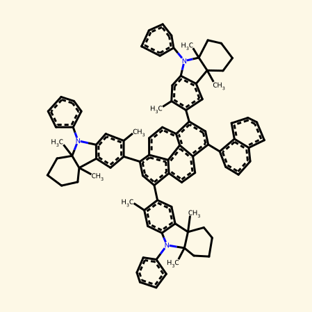 Cc1cc2c(cc1-c1cc(-c3cc4c(cc3C)N(c3ccccc3)C3(C)CCCCC43C)c3ccc4c(-c5cccc6ccccc56)cc(-c5cc6c(cc5C)N(c5ccccc5)C5(C)CCCCC65C)c5ccc1c3c54)C1(C)CCCCC1(C)N2c1ccccc1